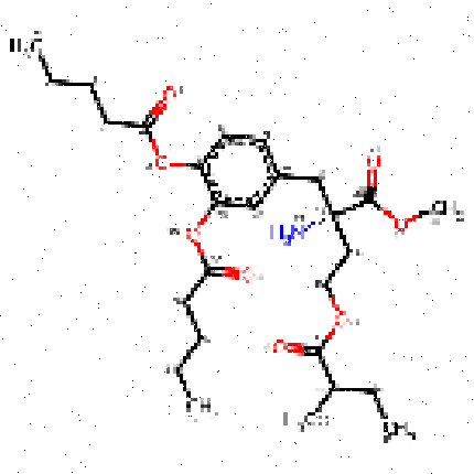 CCCCC(=O)Oc1ccc(C[C@](N)(CCOC(=O)C(C)CC)C(=O)OC)cc1OC(=O)CCCC